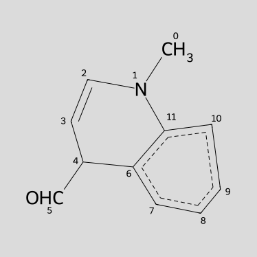 CN1C=CC(C=O)c2ccccc21